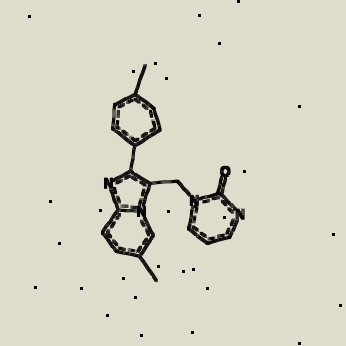 Cc1ccc(-c2nc3ccc(C)cn3c2Cn2cccnc2=O)cc1